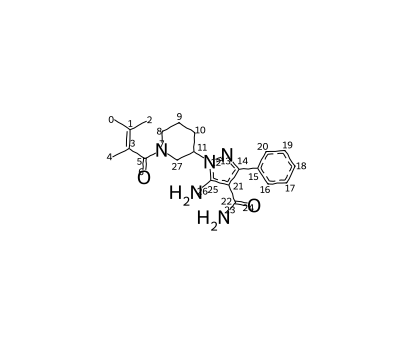 CC(C)=C(C)C(=O)N1CCCC(n2nc(-c3ccccc3)c(C(N)=O)c2N)C1